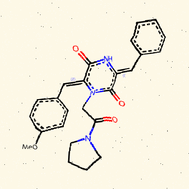 COc1ccc(/C=c2/c(=O)[nH]/c(=C\c3ccccc3)c(=O)n2CC(=O)N2CCCC2)cc1